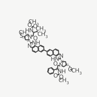 COC[C@H]1C[C@@H](c2nc3ccc4cc(-c5ccc6c(ccc7nc([C@@H]8C[C@H](SC)CN8C(=O)C(NC(=O)OC)C(C)C)[nH]c76)c5)ccc4c3[nH]2)N(C(=O)[C@H](NC(=O)OC)c2ccccc2)C1